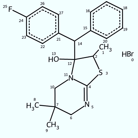 Br.CC1SC2=NCC(C)(C)CN2C1(O)C(c1ccccc1)c1ccc(F)cc1